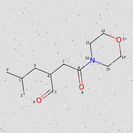 CC(C)CC([C]=O)CC(=O)N1CCOCC1